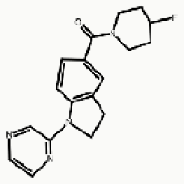 O=C(c1ccc2c(c1)CCN2c1cnccn1)N1CCC(F)CC1